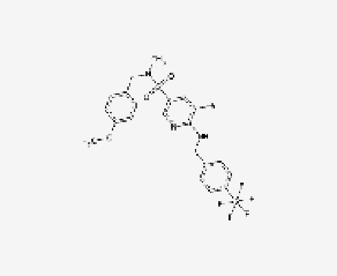 COc1ccc(CN(C)S(=O)(=O)c2cnc(NCc3ccc(S(F)(F)(F)(F)F)cc3)c(Br)c2)cc1